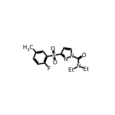 CCN(CC)C(=O)n1ccc(S(=O)(=O)c2cc(C)ccc2F)n1